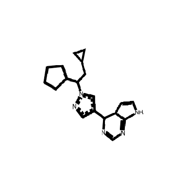 C1=CC2C(=NC=NC2c2cnn(C(CC3CC3)C3CCCC3)c2)N1